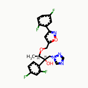 C[C@@H](OCc1cc(-c2cc(F)ccc2F)no1)[C@](O)(Cn1cncn1)c1ccc(F)cc1F